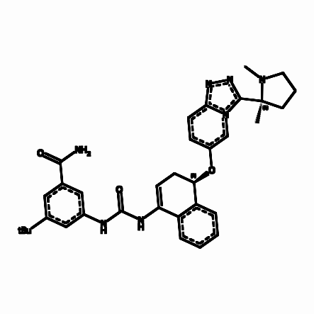 CN1CCC[C@@]1(C)c1nnc2ccc(O[C@@H]3CC=C(NC(=O)Nc4cc(C(N)=O)cc(C(C)(C)C)c4)c4ccccc43)cn12